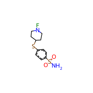 NS(=O)(=O)c1ccc(SC2CCN(F)CC2)cc1